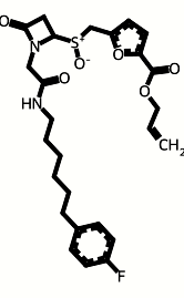 C=CCOC(=O)c1ccc(C[S+]([O-])C2CC(=O)N2CC(=O)NCCCCCCc2ccc(F)cc2)o1